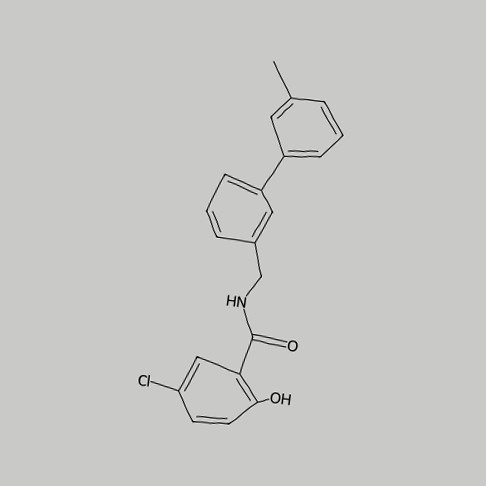 Cc1cccc(-c2cccc(CNC(=O)c3cc(Cl)ccc3O)c2)c1